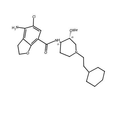 CO[C@@H]1CN(CCC2CCCCC2)CC[C@@H]1NC(=O)c1cc(Cl)c(N)c2c1OCC2